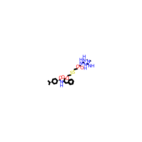 CC(C)[C@H]1CC[C@H](C(=O)NC(Cc2ccccc2)C(=O)OCCSSCCOC(=O)NC(=N)NC(=N)N(C)C)CC1